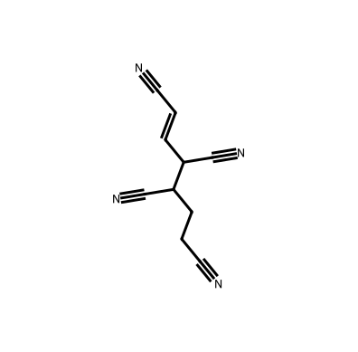 N#CC=CC(C#N)C(C#N)CCC#N